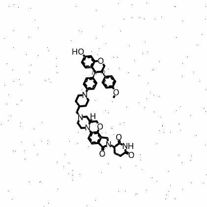 COc1ccc([C@@H]2COc3cc(O)ccc3[C@@H]2c2ccc(N3CCC(CN4CCN5c6ccc7c(c6OC[C@H]5C4)CN(C4CCC(=O)NC4=O)C7=O)CC3)cc2)cc1